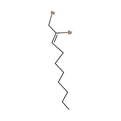 CCCCCCCC=C(Br)CBr